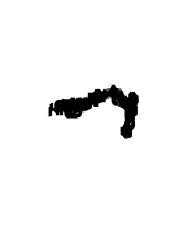 O=C1CCC(N2Cc3cc(N4CCN(CC[C@@H]5C[C@H]5COC5=CCC([C@@H]6c7ccc(OCc8ccccc8)cc7CC[C@@H]6c6ccccc6)C=C5)CC4)ccc3C2=O)C(=O)N1